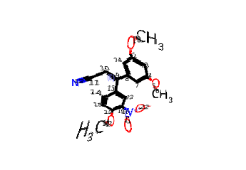 COc1cc(OC)cc(/C(=C/C#N)c2ccc(OC)c([N+](=O)[O-])c2)c1